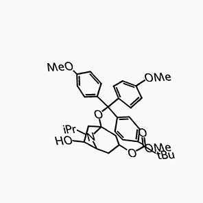 COc1ccc(C(OC23CC(OC(=O)C(C)(C)C)CC(C(O)C2)N3C(C)C)(c2ccc(OC)cc2)c2ccc(OC)cc2)cc1